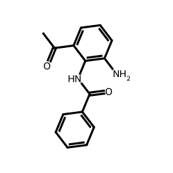 CC(=O)c1cccc(N)c1NC(=O)c1ccccc1